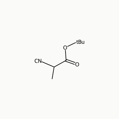 [C-]#[N+]C(C)C(=O)OC(C)(C)C